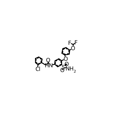 NS(=O)(=O)c1cc(NC(=O)Cc2ccccc2Cl)ccc1Oc1cccc(OC(F)F)c1